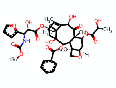 CC(=O)O[C@@]12CO[C@@H]1C[C@H](OC(=O)[C@H](C)O)[C@@]1(C)C(=O)[C@H](O)C3=C(C)[C@@H](OC(=O)[C@H](O)[C@@H](NC(=O)OC(C)(C)C)c4ccco4)C[C@@](O)([C@@H](OC(=O)c4ccccc4)C12)C3(C)C